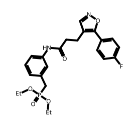 CCOP(=O)(Cc1cccc(NC(=O)CCc2cnoc2-c2ccc(F)cc2)c1)OCC